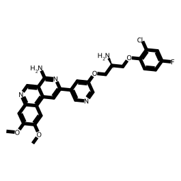 COc1cc2ncc3c(N)nc(-c4cncc(OC[C@@H](N)COc5ccc(F)cc5Cl)c4)cc3c2cc1OC